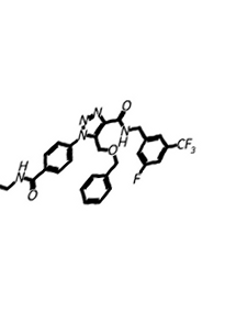 O=C(NCC(F)(F)F)c1ccc(-n2nnc(C(=O)NCc3cc(F)cc(C(F)(F)F)c3)c2COCc2ccccc2)cc1